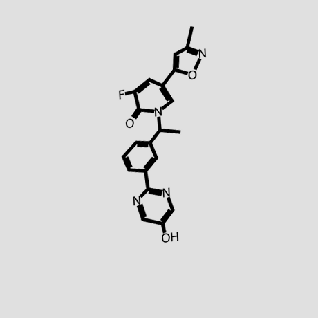 Cc1cc(-c2cc(F)c(=O)n(C(C)c3cccc(-c4ncc(O)cn4)c3)c2)on1